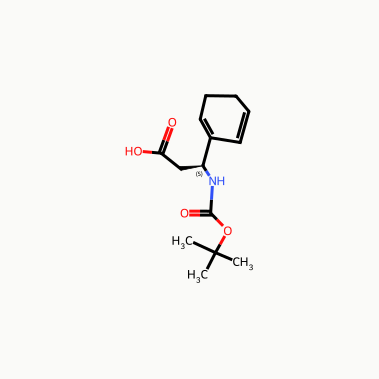 CC(C)(C)OC(=O)N[C@@H](CC(=O)O)C1=CCCC=C1